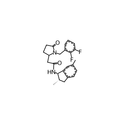 Cc1ccc2c(c1)[C@H](NC(=O)CC1CCC(=O)N1Cc1cccc(F)c1F)[C@@H](C)C2